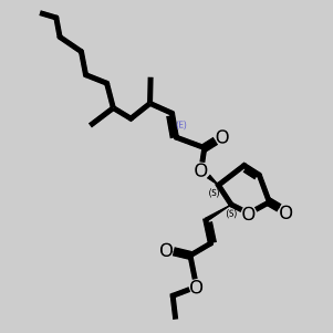 CCCCCCC(C)CC(C)/C=C/C(=O)O[C@H]1C=CC(=O)O[C@H]1C=CC(=O)OCC